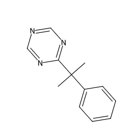 CC(C)(c1ccccc1)c1ncncn1